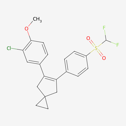 COc1ccc(C2=C(c3ccc(S(=O)(=O)C(F)F)cc3)CC3(CC3)C2)cc1Cl